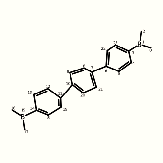 CB(C)c1ccc(-c2ccc(-c3ccc(B(C)C)cc3)cc2)cc1